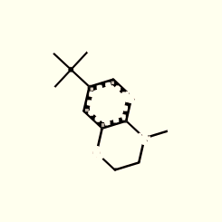 CN1CCOc2cc(C(C)(C)C)cnc21